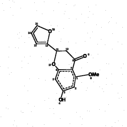 COc1cc(O)cc2c1C(=O)CC(C1=C=C=CO1)O2